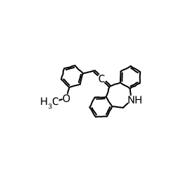 COc1cccc(C=C=C2c3ccccc3CNc3ccccc32)c1